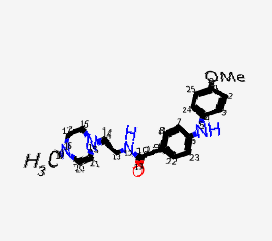 COc1ccc(Nc2ccc(C(=O)NCCN3CCN(C)CC3)cc2)cc1